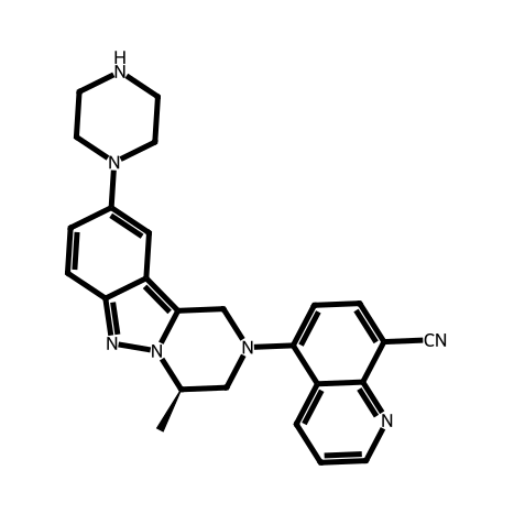 C[C@@H]1CN(c2ccc(C#N)c3ncccc23)Cc2c3cc(N4CCNCC4)ccc3nn21